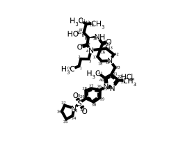 CCCCN1C(=O)[C@@H]([C@H](O)C(C)C)NC(=O)C12CCN(Cc1c(C)nn(-c3ccc(S(=O)(=O)N4CCCC4)cc3)c1C)CC2.Cl